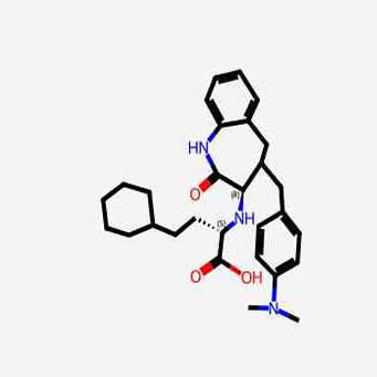 CN(C)c1ccc(CC2Cc3ccccc3NC(=O)[C@@H]2N[C@@H](CCC2CCCCC2)C(=O)O)cc1